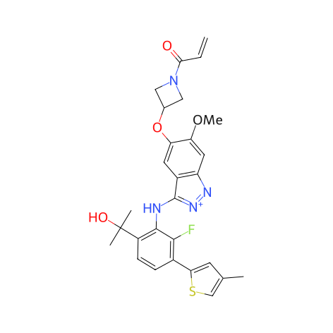 C=CC(=O)N1CC(Oc2cc3c(cc2OC)N=[N+]=C3Nc2c(C(C)(C)O)ccc(-c3cc(C)cs3)c2F)C1